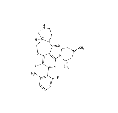 C[C@H]1CN(C)CCN1c1nc(-c2c(N)cccc2F)c(Cl)c2c1C(=O)N1CCNC[C@@H]1CO2